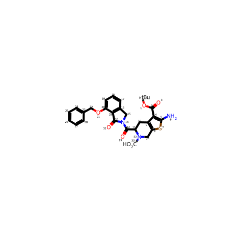 CC(C)(C)OC(=O)c1c(N)sc2c1CC(C(=O)N1Cc3cccc(OCc4ccccc4)c3C1=O)N(C(=O)O)C2